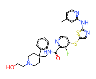 Cc1ccnc(Nc2ncc(Sc3ccnc(C(=O)NCC4(c5ccccc5)CCN(CCO)CC4)c3F)s2)c1